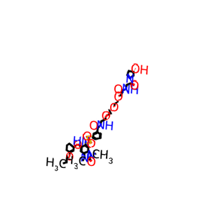 CCCOc1cccc(Oc2cc3c(cc2NS(=O)(=O)c2cccc(C(=O)NCCOCCOCCOCC(=O)NCC(=O)N4CC[C@H](O)C4)c2)n(C)c(=O)n3C)c1